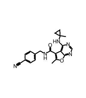 Cc1oc2ncnc(NC3(C)CC3)c2c1C(=O)NCc1ccc(C#N)cc1